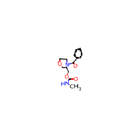 CNC(=O)OCC1COCCN1C(=O)c1ccccc1